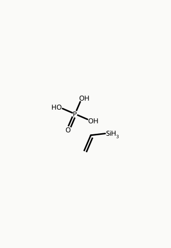 C=C[SiH3].O=P(O)(O)O